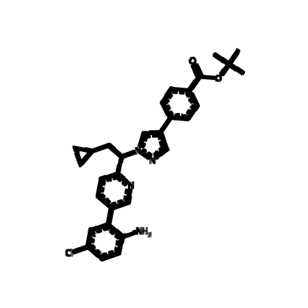 CC(C)(C)OC(=O)c1ccc(-c2cnn(C(CC3CC3)c3ccc(-c4cc(Cl)ccc4N)cn3)c2)cc1